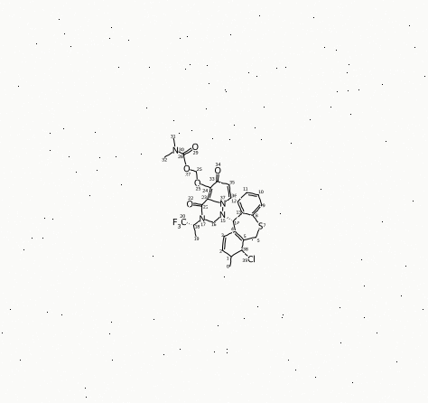 CC1C=CC2=C(CSc3ccccc3[C@H]2N2CN([C@H](C)C(F)(F)F)C(=O)c3c(OCOC(=O)N(C)C)c(=O)ccn32)C1Cl